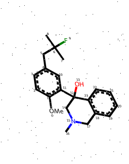 COc1ccc(CC(C)(C)F)cc1C1(O)CN(C)Cc2ccccc21